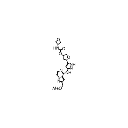 COCc1cc2c(Nc3cc(C4CC(OC(=O)NC5COC5)CO4)[nH]n3)nccn2n1